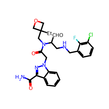 CCC1(CN(C(=O)Cn2nc(C(N)=O)c3ccccc32)C(C=O)CNCc2cccc(Cl)c2F)COC1